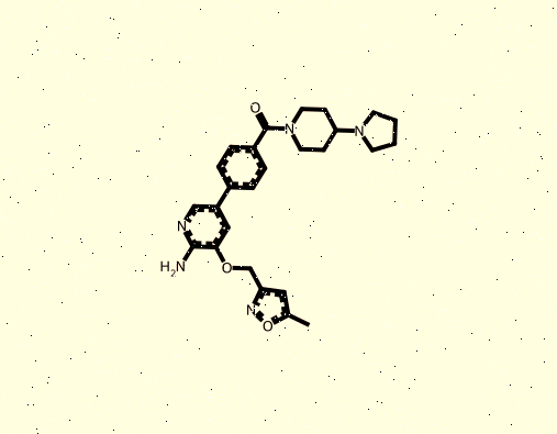 Cc1cc(COc2cc(-c3ccc(C(=O)N4CCC(N5CCCC5)CC4)cc3)cnc2N)no1